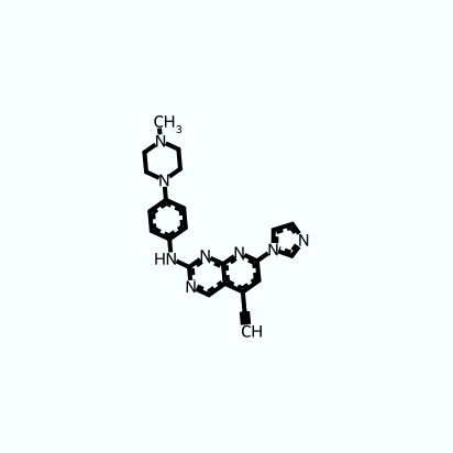 C#Cc1cc(-n2ccnc2)nc2nc(Nc3ccc(N4CCN(C)CC4)cc3)ncc12